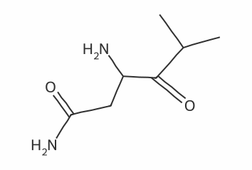 CC(C)C(=O)C(N)CC(N)=O